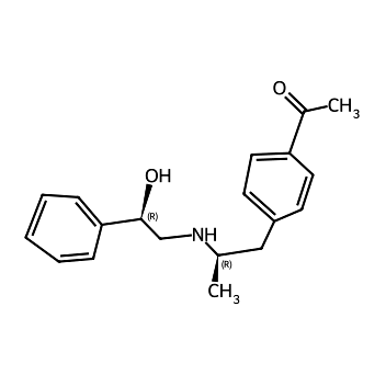 CC(=O)c1ccc(C[C@@H](C)NC[C@H](O)c2ccccc2)cc1